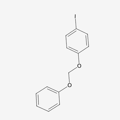 Ic1ccc(OCOc2ccccc2)cc1